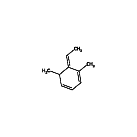 CC=C1C(C)=CC=CC1C